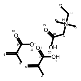 C=C(C)C(=O)O.C=C(C)C(=O)[O-].CC[N+](C)(C)CC(=O)O